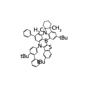 CC(C)(C)c1cc2c3c(c1)C1(C)CCCCC1(C)N3c1cc(-c3ccccc3)cc3c1B2c1sc2ccc(C(C)(C)C)cc2c1N3c1ccc(C(C)(C)C)c(-c2ccccc2)c1